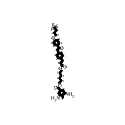 Cc1c(N)cc(C(=O)OCCCCCCOC(=O)/C=C/c2ccc(CC(=O)c3ccc(OCCCC(F)(F)F)cc3)cc2)cc1N